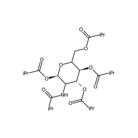 CC(C)C(=O)NC1[C@@H](OC(=O)C(C)C)OC(COC(=O)C(C)C)[C@@H](OC(=O)C(C)C)[C@@H]1OC(=O)C(C)C